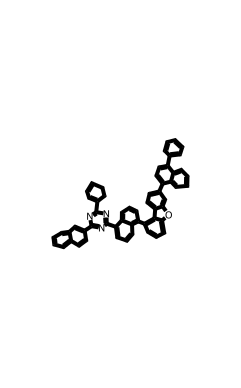 C1=CCCC(c2nc(-c3ccc4ccccc4c3)nc(-c3cccc4c(-c5cccc6oc7cc(-c8ccc(-c9ccccc9)c9ccccc89)ccc7c56)cccc34)n2)=C1